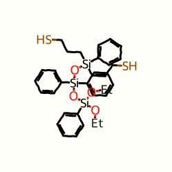 CCO[Si](OCC)(O[Si](O[Si](CCCS)(CCCS)c1ccccc1)(c1ccccc1)c1ccccc1)c1ccccc1